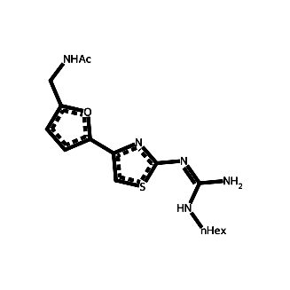 CCCCCCNC(N)=Nc1nc(-c2ccc(CNC(C)=O)o2)cs1